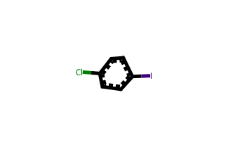 Clc1c[c]c(I)cc1